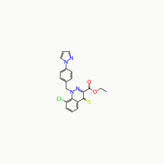 CCOC(=O)c1nn(Cc2ccc(-n3cccn3)cc2)c2c(Cl)cccc2c1=S